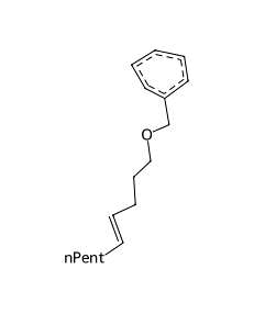 CCCCCC=CCCCOCc1ccccc1